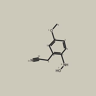 COc1ccc(NO)c(CC#N)c1